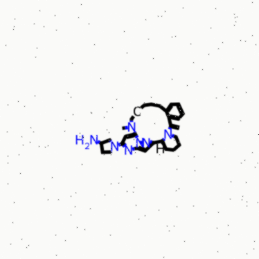 C=C1c2ccccc2CCCCCN(C)c2cc(N3CCC(N)C3)nc3cc(nn23)[C@@H]2CCCCN12